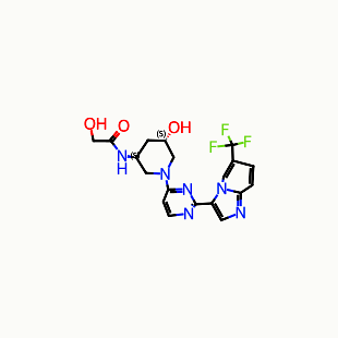 O=C(CO)N[C@H]1C[C@H](O)CN(c2ccnc(-c3cnc4ccc(C(F)(F)F)cn34)n2)C1